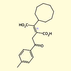 Cc1ccc(C(=O)C/C(C(=O)O)=C(\C(=O)O)C2CCCCCCC2)cc1